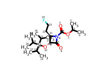 CC(C)OC(=O)N1C(=O)[C@H](O[Si](C(C)C)(C(C)C)C(C)C)[C@H]1CCF